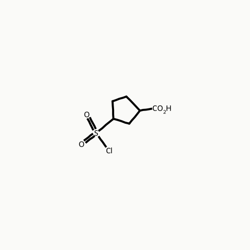 O=C(O)C1CCC(S(=O)(=O)Cl)C1